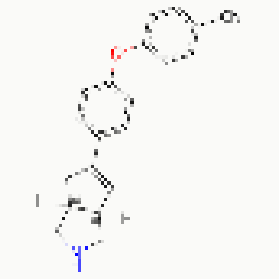 N#Cc1ccc(Oc2ccc(C3=C[C@H]4CNC[C@H]4C3)cc2)cc1